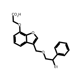 CCC(COCc1coc2c(OCC(=O)O)cccc12)c1ccccc1